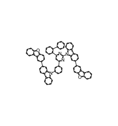 c1ccc(-c2ccccc2-c2cc(-c3cccc(-n4c5ccccc5c5ccc(-c6ccc7oc8ccccc8c7c6)cc54)c3)nc(-n3c4ccccc4c4ccc(-c5ccc6oc7ccccc7c6c5)cc43)n2)cc1